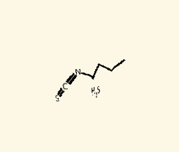 CCCCN=C=S.S